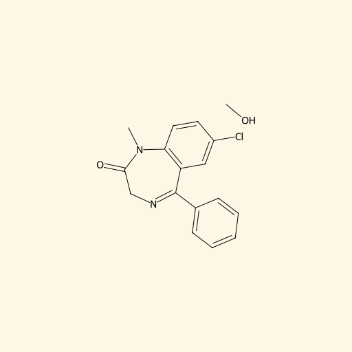 CN1C(=O)CN=C(c2ccccc2)c2cc(Cl)ccc21.CO